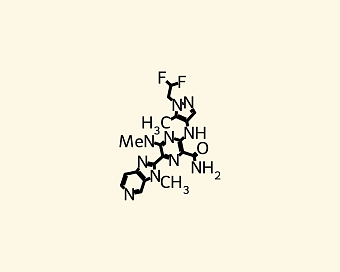 CNc1nc(Nc2cnn(CC(F)F)c2C)c(C(N)=O)nc1-c1nc2ccncc2n1C